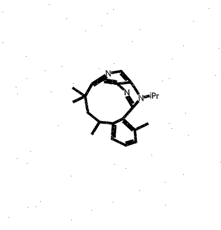 Cc1cccc2c1-c1nc3cc(ncc3n1C(C)C)C(C)(C)CC2C